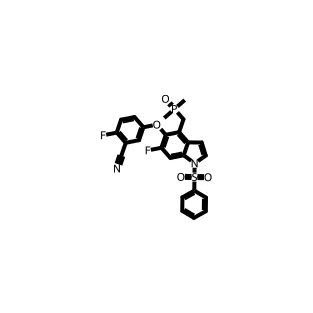 CP(C)(=O)Cc1c(Oc2ccc(F)c(C#N)c2)c(F)cc2c1ccn2S(=O)(=O)c1ccccc1